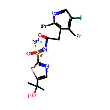 CC(C)c1ncc(F)c(C(C)C)c1CC(=O)N=[S@](N)(=O)c1ncc(C(C)(C)O)s1